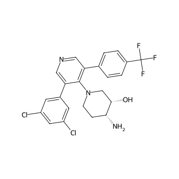 N[C@@H]1CCN(c2c(-c3ccc(C(F)(F)F)cc3)cncc2-c2cc(Cl)cc(Cl)c2)C[C@@H]1O